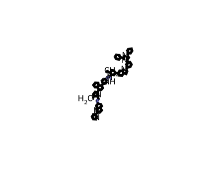 C=Cc1ccc(-c2ccc3ccc(-c4cccc(-c5cc(-c6ccccc6)nc(-c6ccccc6)n5)c4)nc3c2)cc1/N=C/C1C=CC(c2ccc(-c3ccc(C=C)c(/C=C/C4C=c5nc(-c6ccccn6)ccc5=CC4)n3)c3ccccc23)=CN1